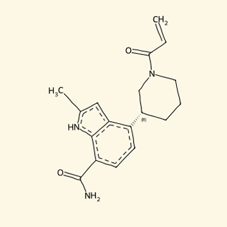 C=CC(=O)N1CCC[C@H](c2ccc(C(N)=O)c3[nH]c(C)cc23)C1